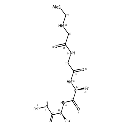 CCCNC(=O)[C@H](C)NC(=O)[C@@H](NC(=O)CNC(=O)CNCSC)C(C)C